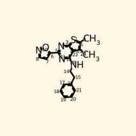 Cc1sc2nc(-c3ccno3)nc(NCCc3ccccc3)c2c1C